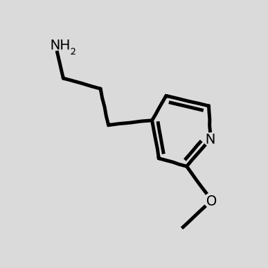 COc1cc(CCCN)ccn1